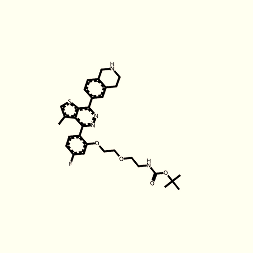 Cc1csc2c(-c3ccc4c(c3)CCNC4)nnc(-c3ccc(F)cc3OCCOCCNC(=O)OC(C)(C)C)c12